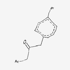 CC(=O)CC(=O)Cc1ccc(C(C)C)cc1